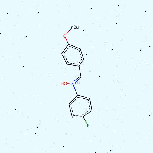 CCCCOc1ccc(/C=[N+](\O)c2ccc(F)cc2)cc1